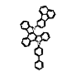 c1ccc(-c2ccc(-n3c4ccccc4c4c3c3ccccc3c3c5ccccc5n(-c5ccc6c(c5)-c5cccc7cccc-6c57)c34)cc2)cc1